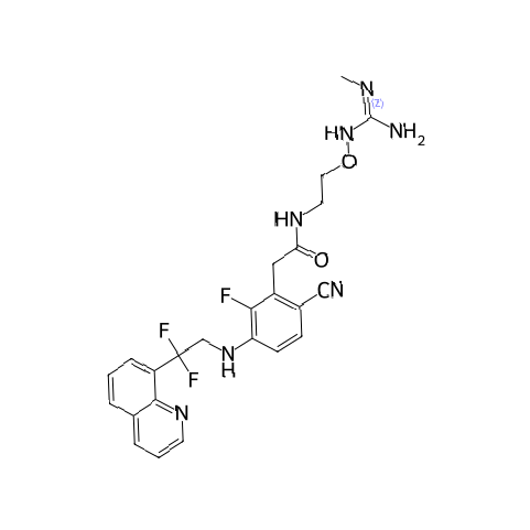 C/N=C(/N)NOCCNC(=O)Cc1c(C#N)ccc(NCC(F)(F)c2cccc3cccnc23)c1F